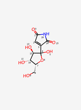 O=C1C=C(C2(O)O[C@H](CO)[C@H](O)[C@H]2O)C(=O)N1